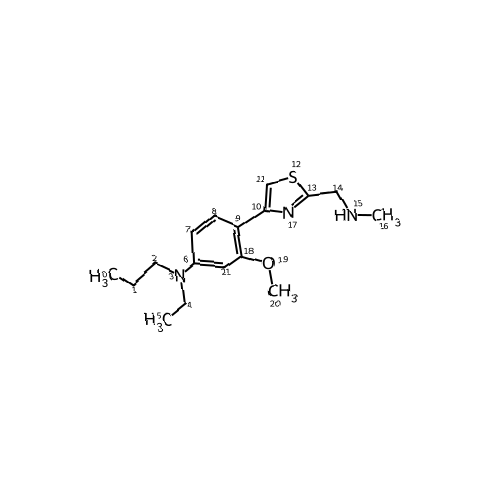 CCCN(CC)c1ccc(-c2csc(CNC)n2)c(OC)c1